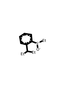 CCC(CC)c1ccccc1[S+]([O-])CC